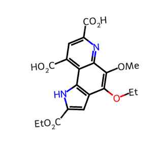 CCOC(=O)c1cc2c(OCC)c(OC)c3nc(C(=O)O)cc(C(=O)O)c3c2[nH]1